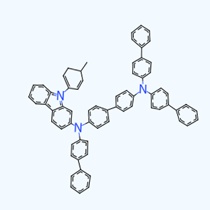 CC1C=CC(n2c3ccccc3c3ccc(N(c4ccc(-c5ccccc5)cc4)c4ccc(-c5ccc(N(c6ccc(-c7ccccc7)cc6)c6ccc(-c7ccccc7)cc6)cc5)cc4)cc32)=CC1